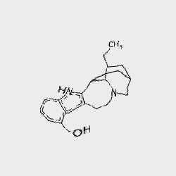 CCC1CC2CC3c4[nH]c5cccc(O)c5c4CCN(C2)C13